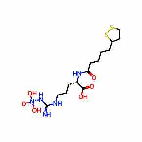 N=C(NCCC[C@H](NC(=O)CCCCC1CCSS1)C(=O)O)N[N+]([O-])(O)O